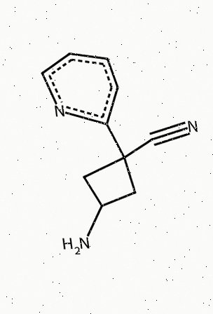 N#CC1(c2ccccn2)CC(N)C1